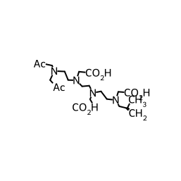 C=C(C)CN(CCN(CCN(CCN(CC(C)=O)CC(C)=O)CC(=O)O)CC(=O)O)CC(=O)O